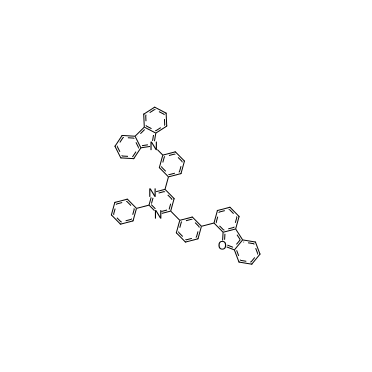 c1ccc(-c2nc(-c3cccc(-c4cccc5c4oc4ccccc45)c3)cc(-c3cccc(-n4c5ccccc5c5ccccc54)c3)n2)cc1